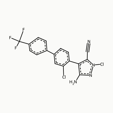 N#Cc1c(-c2ccc(-c3ccc(C(F)(F)F)cc3)cc2Cl)c(N)nn1Cl